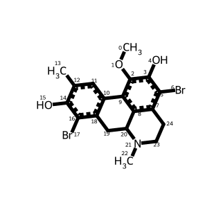 COc1c(O)c(Br)c2c3c1-c1cc(C)c(O)c(Br)c1CC3N(C)CC2